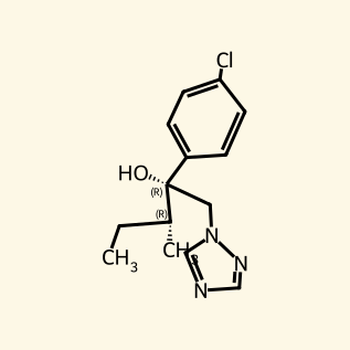 CC[C@@H](C)[C@](O)(Cn1cncn1)c1ccc(Cl)cc1